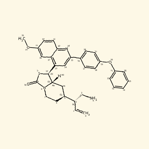 C=C[C@@H](CN)[C@H]1CCN2C(=O)S[C@@H](c3cc(-c4ccc(Oc5ccccc5)cc4)nc4ccc(OC)cc34)[C@@H]2C1